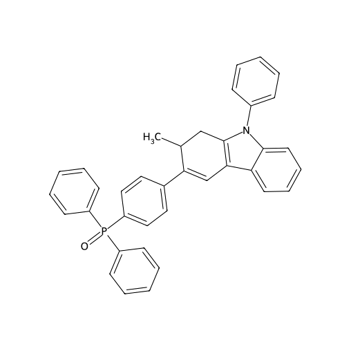 CC1Cc2c(c3ccccc3n2-c2ccccc2)C=C1c1ccc(P(=O)(c2ccccc2)c2ccccc2)cc1